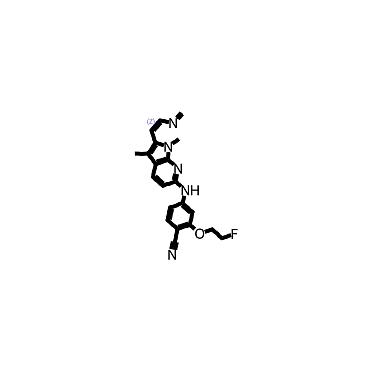 C=N/C=C\c1c(C)c2ccc(Nc3ccc(C#N)c(OCCF)c3)nc2n1C